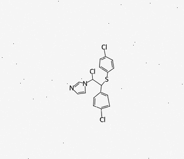 Clc1ccc(SC(c2ccc(Cl)cc2)C(Cl)n2ccnc2)cc1